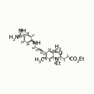 CCOC(=O)CCC(=O)N(CC)c1cc(C)c(C#CCNc2ccc(C(=N)N)cc2)cc1C